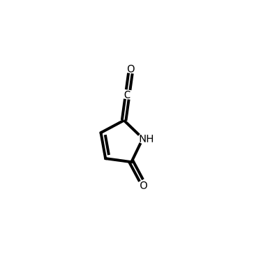 O=C=C1C=CC(=O)N1